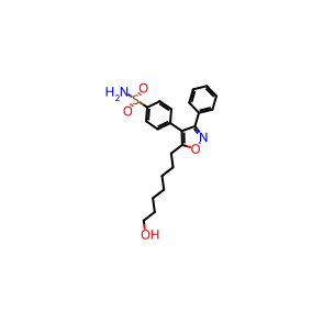 NS(=O)(=O)c1ccc(-c2c(-c3ccccc3)noc2CCCCCCCO)cc1